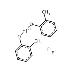 Cc1ccccc1[O][Hf+2][O]c1ccccc1C.[F-].[F-]